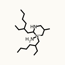 CCCCC(CC)CC1NCC(C)C[N+]1(N)CC(CC)CCCC